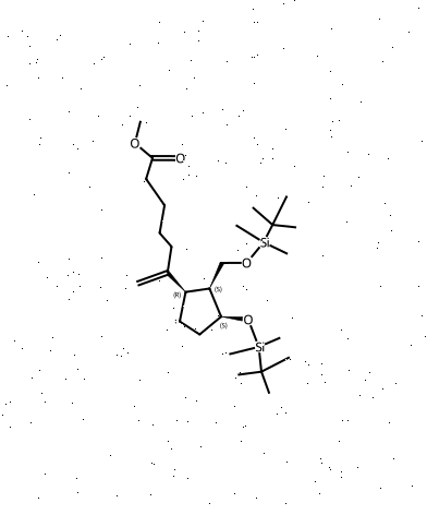 C=C(CCCCC(=O)OC)[C@@H]1[C]C[C@H](O[Si](C)(C)C(C)(C)C)[C@@H]1CO[Si](C)(C)C(C)(C)C